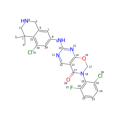 CC1(C)CNCc2cc(Nc3ncc4c(n3)OCN(c3c(F)cccc3Cl)C4=O)cc(Cl)c21